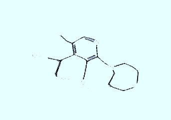 COC(OC)c1c(Cl)cnc(N2CCSCC2)c1N